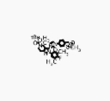 Cc1cc(-n2nc3c(c2-n2ccn(-c4ccc(CS(C)(=O)=O)cc4)c2=O)C(C)N(C(=O)OC(C)(C)C)CC3)cc(C)c1F